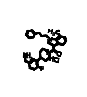 Cc1cccc2c(C(=O)N3CCC(c4cc(CN)ccc4F)CC3)cn(CCCc3ccccc3)c12.Cl